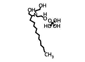 CCCCCCCCCCCCC(CO)N(CCO)CCO.O=P(O)(O)O